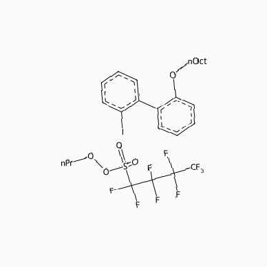 CCCCCCCCOc1ccccc1-c1ccccc1I.CCCOOS(=O)(=O)C(F)(F)C(F)(F)C(F)(F)C(F)(F)F